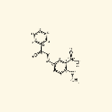 COc1ccc(C=CC(=O)c2ccccc2)cc1[N+](=O)[O-]